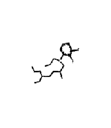 CCCC(CC)CCC(C)CP(CCC)c1cccc(F)c1F